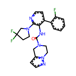 O=C(Nc1c(-c2ccccc2F)ccnc1N1CCC(F)(F)C1)N1CCn2nccc2C1